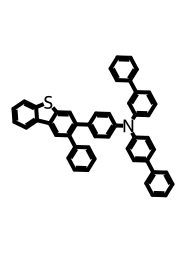 c1ccc(-c2ccc(N(c3ccc(-c4cc5sc6ccccc6c5cc4-c4ccccc4)cc3)c3cccc(-c4ccccc4)c3)cc2)cc1